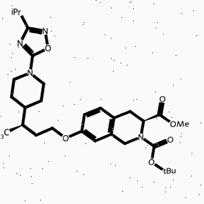 COC(=O)[C@@H]1Cc2ccc(OCC[C@@H](C)C3CCN(c4nc(C(C)C)no4)CC3)cc2CN1C(=O)OC(C)(C)C